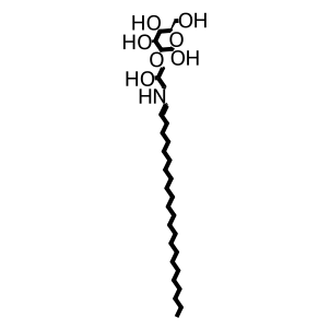 CCCCCCCCCCCCCCCCCCCCCC/C=C/NCC(O)CO[C@@H]1[C@@H](O)[C@@H](O)[C@@H](CO)O[C@H]1O